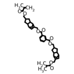 C=C(C)C(=O)OCC1CC2C3CC(COC(=O)c4cccc(C(=O)OCC5CC6C7CC(COC(=O)C(=C)C)C(C7)C6C5)c4)C(C3)C2C1